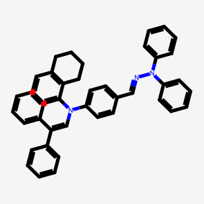 C(=NN(c1ccccc1)c1ccccc1)c1ccc(N(C=C(c2ccccc2)c2ccccc2)c2cccc3c2CCCC3)cc1